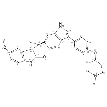 COc1ccc2c(c1)[C@]1(C[C@H]1c1ccc3c(-c4ccc(OC5CCN(C)CC5)cc4)n[nH]c3c1)C(=O)N2